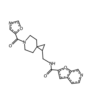 O=C(NCC1CC12CCN(C(=O)c1cnco1)CC2)c1cc2ccncc2o1